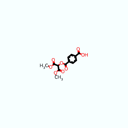 COC(=O)C(OC(=O)c1ccc(C(=O)O)cc1)C(=O)OC